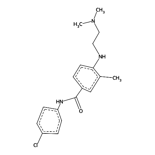 Cc1cc(C(=O)Nc2ccc(Cl)cc2)ccc1NCCN(C)C